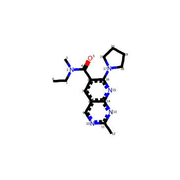 CCN(C)C(=O)c1cc2cnc(C)nc2nc1N1CCCC1